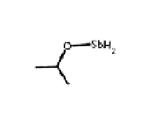 CC(C)[O][SbH2]